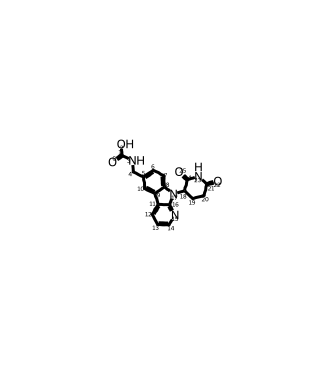 O=C(O)NCc1ccc2c(c1)c1cccnc1n2C1CCC(=O)NC1=O